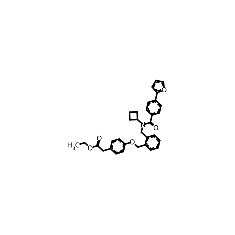 CCOC(=O)Cc1ccc(OCc2ccccc2CN(C(=O)c2ccc(-c3ccco3)cc2)C2CCC2)cc1